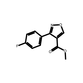 COC(=O)c1conc1-c1ccc(F)cc1